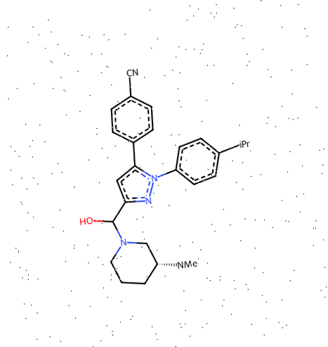 CN[C@@H]1CCCN(C(O)c2cc(-c3ccc(C#N)cc3)n(-c3ccc(C(C)C)cc3)n2)C1